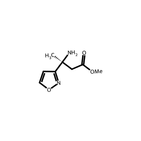 COC(=O)C[C@](C)(N)c1ccon1